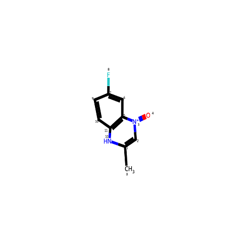 Cc1c[n+](=O)c2cc(F)ccc2[nH]1